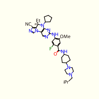 CC[C@@H]1c2c(C#N)ncn2-c2cnc(Nc3cc(F)c(C(=O)NC4CCC(N5CCN(CC(C)C)CC5)CC4)cc3OC)nc2N1C1CCCC1